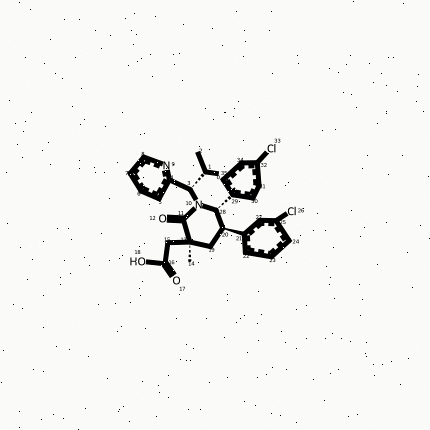 CC(C)[C@@H](c1ccccn1)N1C(=O)[C@](C)(CC(=O)O)C[C@H](c2cccc(Cl)c2)[C@H]1c1ccc(Cl)cc1